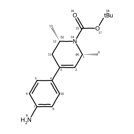 C[C@@H]1C=C(c2ccc(N)cc2)C[C@H](C)N1C(=O)OC(C)(C)C